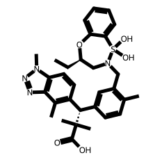 CC[C@@H]1CN(Cc2cc([C@@H](c3ccc4c(nnn4C)c3C)C(C)(C)C(=O)O)ccc2C)S(O)(O)c2ccccc2O1